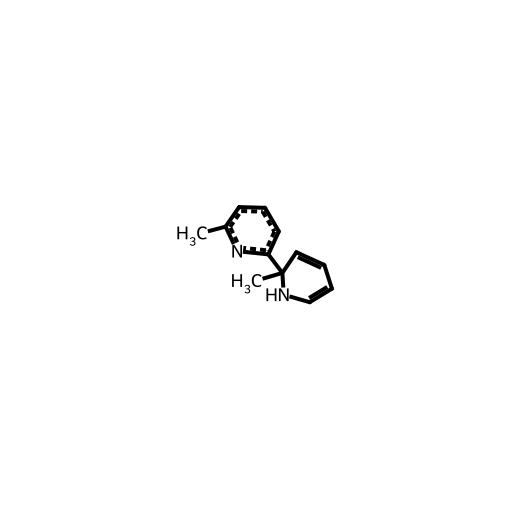 Cc1cccc(C2(C)C=CC=CN2)n1